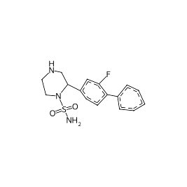 NS(=O)(=O)N1CCNCC1c1ccc(-c2ccccc2)c(F)c1